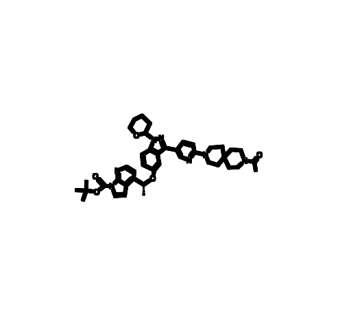 CC(=O)N1CCC2(CC1)CCN(c1ccc(-c3nn(C4CCCCO4)c4ccc(O[C@H](C)c5ccnc6c5ccn6C(=O)OC(C)(C)C)cc34)cn1)CC2